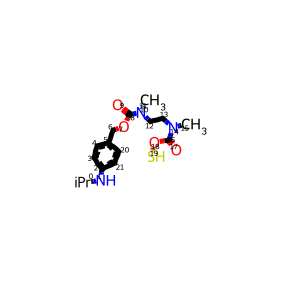 CC(C)Nc1ccc(COC(=O)N(C)CCN(C)C(=O)OS)cc1